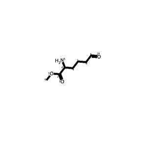 COC(=O)C(N)CCCC=O